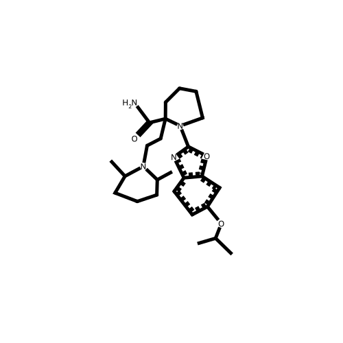 CC(C)Oc1ccc2nc(N3CCCCC3(CCN3C(C)CCCC3C)C(N)=O)oc2c1